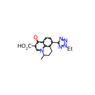 CCn1nnc(-c2ccc3c(=O)c(C(=O)O)cn4c3c2CCC4C)n1